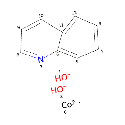 [Co+2].[OH-].[OH-].c1ccc2ncccc2c1